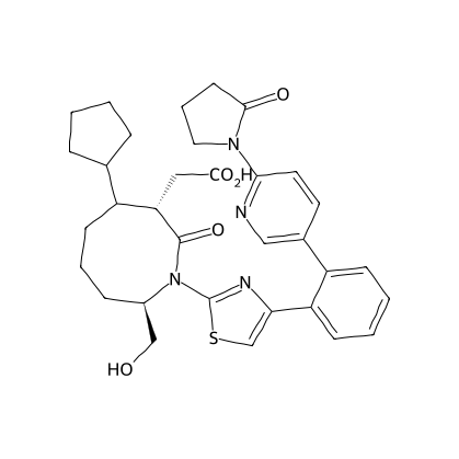 O=C(O)C[C@@H]1C(=O)N(c2nc(-c3ccccc3-c3ccc(N4CCCC4=O)nc3)cs2)[C@@H](CO)CCCC1C1CCCC1